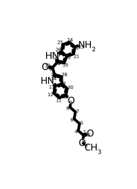 COC(=O)CCCCCOc1ccc2[nH]c(C(=O)c3cc4cc(N)ccc4[nH]3)cc2c1